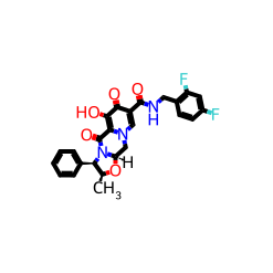 C[C@@H]1O[C@@H]2Cn3cc(C(=O)NCc4ccc(F)cc4F)c(=O)c(O)c3C(=O)N2[C@@H]1c1ccccc1